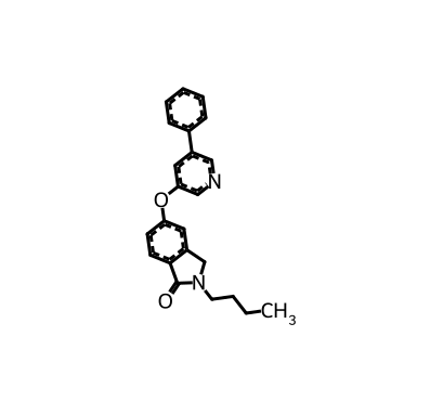 CCCCN1Cc2cc(Oc3cncc(-c4ccccc4)c3)ccc2C1=O